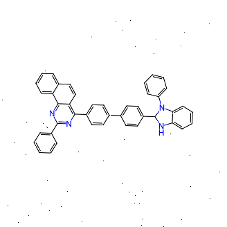 c1ccc(-c2nc(-c3ccc(-c4ccc(C5Nc6ccccc6N5c5ccccc5)cc4)cc3)c3ccc4ccccc4c3n2)cc1